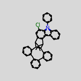 CC1(C)C2C3=C(c4ccccc4-c4ccccc4-c4ccccc43)C1c1c2cc(Cl)c2c1c1ccccc1n2-c1ccccc1